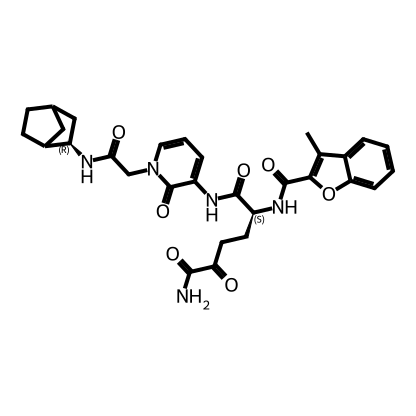 Cc1c(C(=O)N[C@@H](CCC(=O)C(N)=O)C(=O)Nc2cccn(CC(=O)N[C@@H]3CC4CCC3C4)c2=O)oc2ccccc12